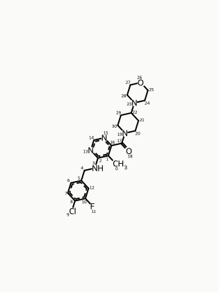 Cc1c(NCc2ccc(Cl)c(F)c2)ncnc1C(=O)N1CCC(N2CCOCC2)CC1